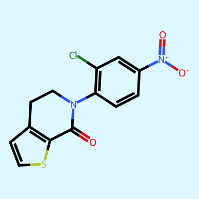 O=C1c2sccc2CCN1c1ccc([N+](=O)[O-])cc1Cl